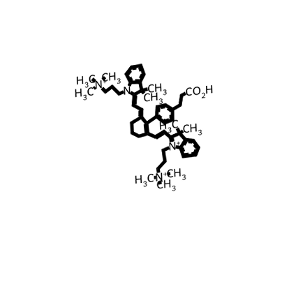 CC1(C)C(/C=C/C2=C(c3ccc(CCC(=O)O)cc3)C(=C/C=C3/N(CCC[N+](C)(C)C)c4ccccc4C3(C)C)/CCC2)=[N+](CCC[N+](C)(C)C)c2ccccc21